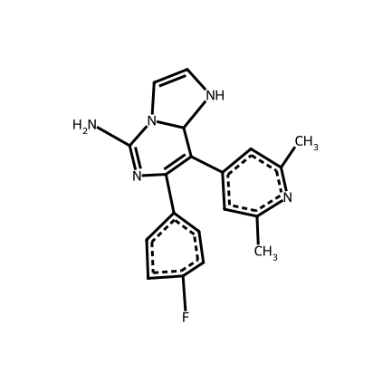 Cc1cc(C2=C(c3ccc(F)cc3)N=C(N)N3C=CNC23)cc(C)n1